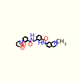 CN1CCc2ccc(NC(=O)c3cccc(CNC(=O)c4cccc(N5CCCCS5(=O)=O)c4)c3)cc2C1